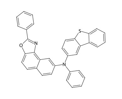 c1ccc(-c2nc3c(ccc4ccc(N(c5ccccc5)c5ccc6sc7ccccc7c6c5)cc43)o2)cc1